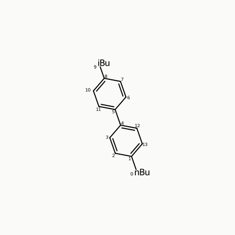 CCCCc1ccc(-c2ccc(C(C)CC)cc2)cc1